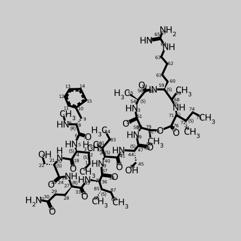 CC[C@H](C)[C@H](NC(=O)[C@@H](Cc1ccccc1)NC)C(=O)N[C@@H](CO)C(=O)N[C@H](CCC(N)=O)C(=O)N[C@@H](C(=O)N[C@H](C(=O)N[C@@H](CO)C(=O)N[C@H]1C(=O)N[C@@H](C)C(=O)N[C@@H](CCCCNC(=N)N)C(C)N[C@@H]([C@@H](C)CC)C(=O)O[C@H]1C)[C@@H](C)CC)[C@@H](C)CC